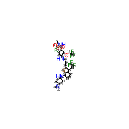 CC(=O)NS(=O)(=O)c1cc(OCC(F)(F)F)c(NCC#Cc2sc3c(NC4CCC(N(C)C)CC4)cccc3c2CC(F)(F)F)cc1F